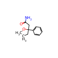 CCC(CC(N)=O)(OC)c1ccccc1